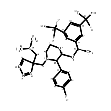 C[C@@H](OC1OCCN(CC2(CN(C)C)C=NN=N2)C1c1ccc(F)cc1)c1cc(C(F)(F)F)cc(C(F)(F)F)c1